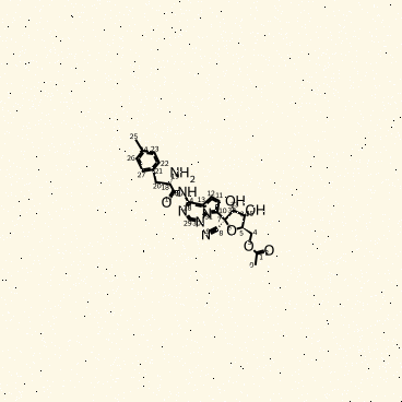 CC(=O)OC[C@H]1O[C@@](C#N)(c2ccc3c(NC(=O)[C@@H](N)Cc4ccc(C)cc4)ncnn23)[C@H](O)[C@@H]1O